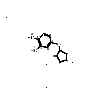 Oc1ccc(OC2CCCC2)cc1O